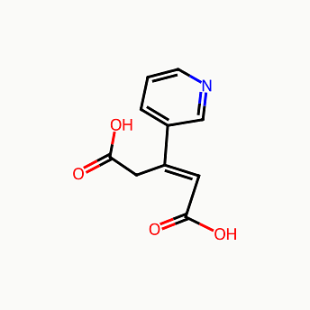 O=C(O)C=C(CC(=O)O)c1cccnc1